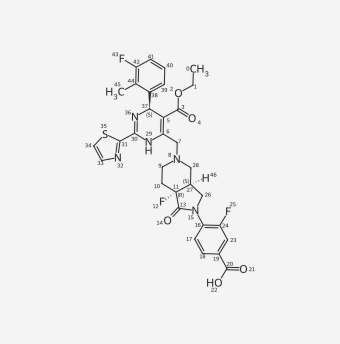 CCOC(=O)C1=C(CN2CC[C@]3(F)C(=O)N(c4ccc(C(=O)O)cc4F)C[C@@H]3C2)NC(c2nccs2)=N[C@H]1c1cccc(F)c1C